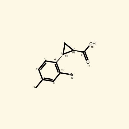 Cc1ccc([C@@H]2C[C@H]2C(=O)O)c(Br)c1